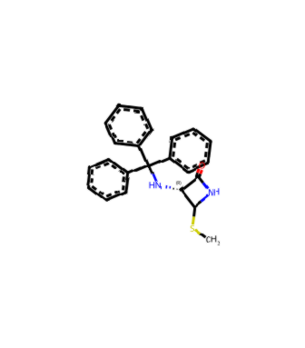 CSC1NC(=O)[C@H]1NC(c1ccccc1)(c1ccccc1)c1ccccc1